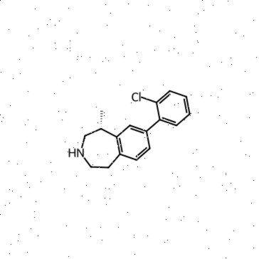 C[C@H]1CNCCc2ccc(-c3ccccc3Cl)cc21